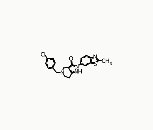 Cc1nc2ccc(-n3[nH]c4c(c3=O)CN(Cc3ccc(Cl)cc3)CC4)cc2s1